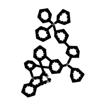 c1ccc(N(c2cccc(-c3ccc([Si](c4ccccc4)(c4ccccc4)c4ccccc4)cc3)c2)c2ccc3c(c2)-c2ccccc2C32c3ccccc3-n3c4ccccc4c4cccc2c43)cc1